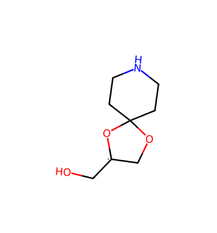 OC[C]1COC2(CCNCC2)O1